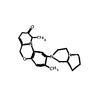 Cc1cc2c(cc1N1CCN3CCCC3C1)N1C(=CCC(=O)C1C)CO2